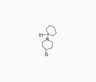 CCC1(N2CCC([O])CC2)CCCCC1